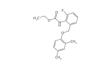 CCOC(=O)Nc1c(F)cccc1COc1ccc(C)cc1C